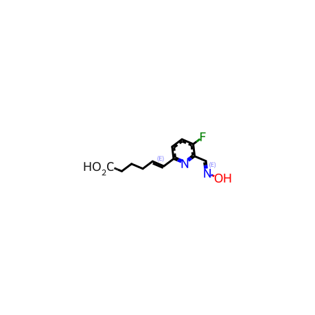 O=C(O)CCC/C=C/c1ccc(F)c(/C=N/O)n1